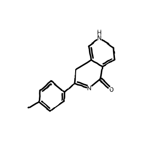 Cc1ccc(C2=NC(=O)C3=CCNC=C3C2)cc1